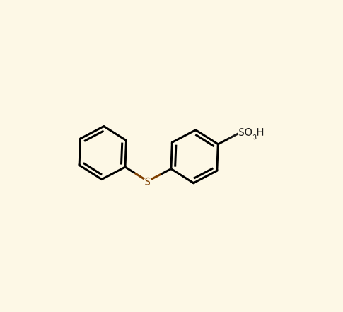 O=S(=O)(O)c1ccc(Sc2ccccc2)cc1